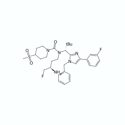 CC(C)(C)[C@H](c1nc(-c2cccc(F)c2)cn1Cc1ccccc1)N(CC[C@@H](N)CF)C(=O)N1CCC(S(C)(=O)=O)CC1